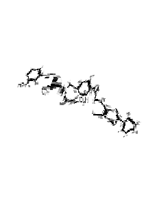 CCCc1cccc(OC(=O)N(CC(=O)O)Cc2ccc(OCCc3nc(-c4ccccc4)oc3C)cc2)c1